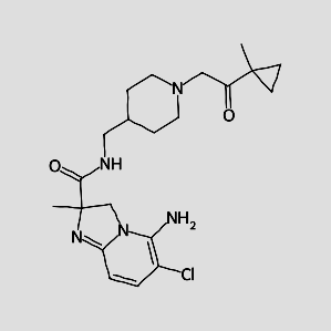 CC1(C(=O)CN2CCC(CNC(=O)C3(C)CN4C(=N3)C=CC(Cl)=C4N)CC2)CC1